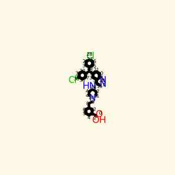 O=C(O)c1cccc(CCN2CCC(Nc3cnnc4ccc(C(c5ccc(Cl)cc5)c5ccc(Cl)cc5)cc34)CC2)c1